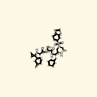 CC(C)CN(C[C@@H](O)[C@H](Cc1ccccc1)NC(=O)C(NC(=O)CNC1(c2cccc(F)c2)CC1)C(C)(C)C)S(=O)(=O)c1ccc2ncsc2c1